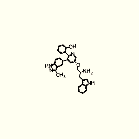 Cc1n[nH]c2ccc(-c3cc(OC[C@@H](N)Cc4c[nH]c5ccccc45)cnc3-c3ccccc3O)cc12